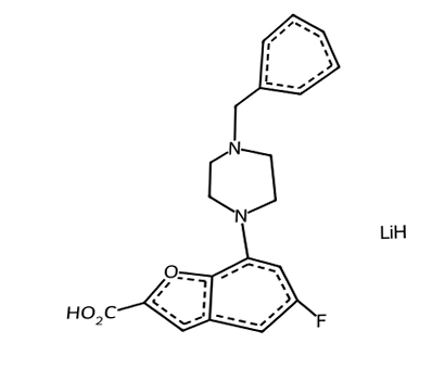 O=C(O)c1cc2cc(F)cc(N3CCN(Cc4ccccc4)CC3)c2o1.[LiH]